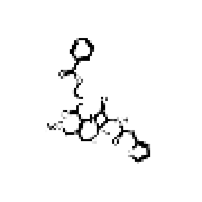 CC(=O)OCC1=C(C(=O)OCOC(=O)c2ccccc2)N2C(=O)[C@@H](NC(=O)Cc3cccs3)[C@H]2SC1